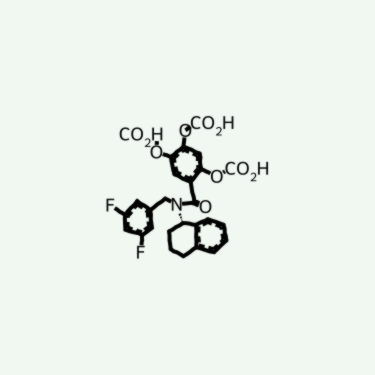 O=C(O)Oc1cc(OC(=O)O)c(C(=O)N(Cc2cc(F)cc(F)c2)[C@H]2CCCc3ccccc32)cc1OC(=O)O